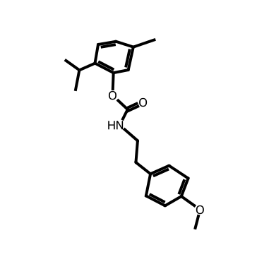 COc1ccc(CCNC(=O)Oc2cc(C)ccc2C(C)C)cc1